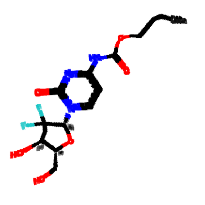 COCCOC(=O)Nc1ccn([C@@H]2O[C@H](CO)[C@@H](O)C2(F)F)c(=O)n1